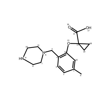 Cc1ccc(CN2CCNCC2)c(OC2(C(=O)O)CC2)c1